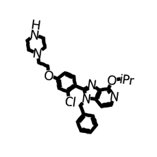 CC(C)Oc1nccc2c1nc(-c1ccc(OCCN3CCNCC3)cc1Cl)n2Cc1ccccc1